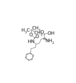 CC(C)(C)OC(=O)NC(CCc1ccccc1)CC[C@H](N)C(=O)O